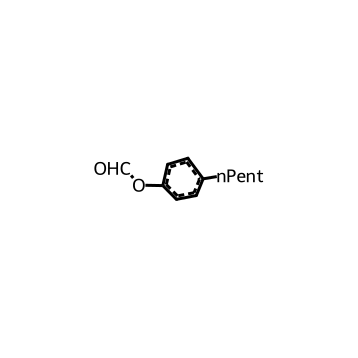 CCCCCc1ccc(OC=O)cc1